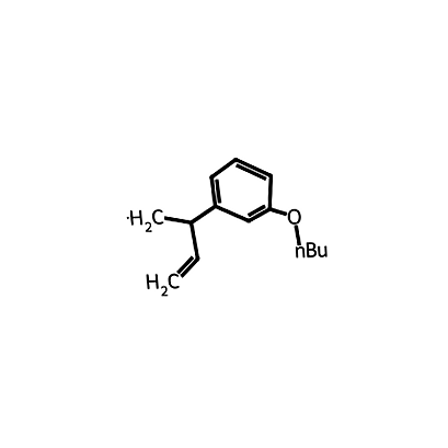 [CH2]C(C=C)c1cccc(OCCCC)c1